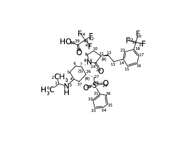 CC(C)NC1CC[C@H](N2CC[C@@H](CCc3cccc(C(F)(F)F)c3)C2=O)[C@H](CS(=O)(=O)c2ccccc2)C1.O=C(O)C(F)(F)F